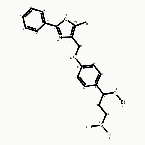 CCOC(CC[S+]([O-])CC)c1ccc(OCc2nc(-c3ccccc3)oc2C)cc1